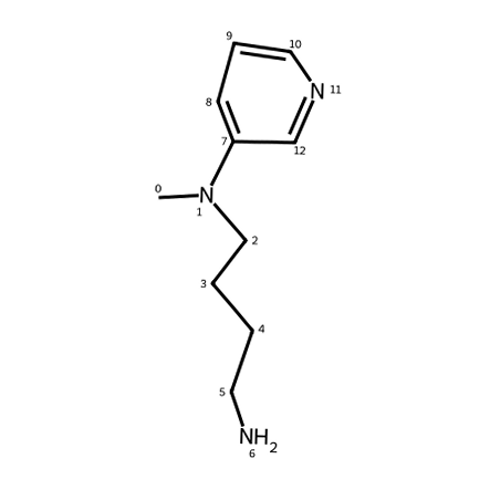 CN(CCCCN)c1cccnc1